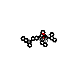 c1ccc(-c2nc(-c3c(-n4c5ccccc5c5cc6ccc(-n7c8ccccc8c8cc9ccccc9cc87)cc6cc54)ccc4ccccc34)nc(-c3cc4ccccc4c4ccccc34)n2)cc1